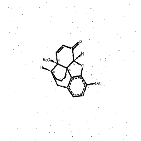 CC(=O)Oc1ccc2c3c1O[C@H]1C(=O)C=C[C@@]4(OC(C)=O)[C@H](CCC[C@]314)C2